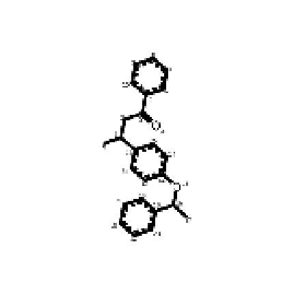 CC(CC(=O)c1ccccc1)c1ccc(OC(C)c2ccccc2)cc1